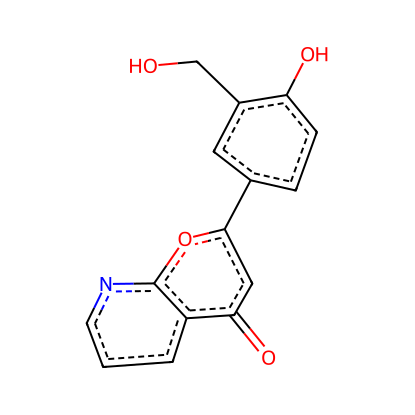 O=c1cc(-c2ccc(O)c(CO)c2)oc2ncccc12